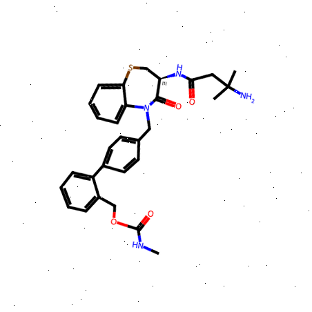 CNC(=O)OCc1ccccc1-c1ccc(CN2C(=O)[C@H](NC(=O)CC(C)(C)N)CSc3ccccc32)cc1